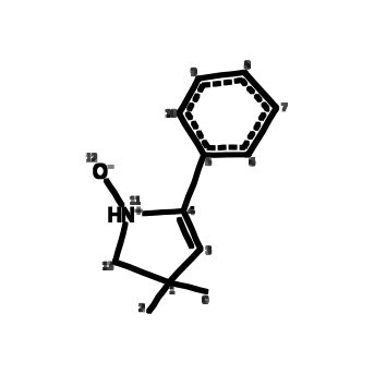 CC1(C)C=C(c2ccccc2)[NH+]([O-])C1